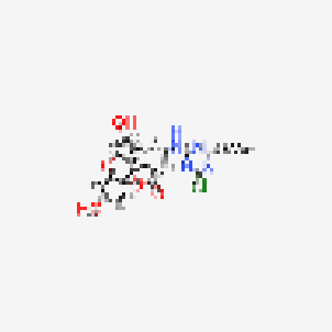 COc1nc(Cl)nc(Nc2ccc3c(c2)C(=O)OC32c3ccc(O)cc3Oc3cc(O)ccc32)n1